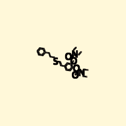 CCN(CC)C(=O)Oc1ccc(/C=C/SCCCc2ccccc2)cc1OC(=O)N(CC)CC